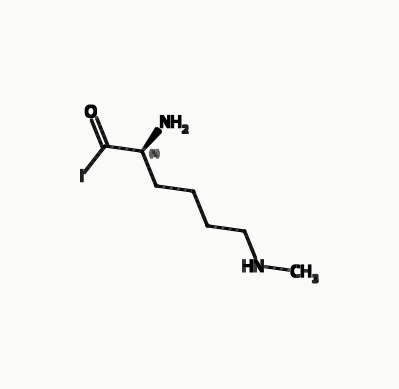 CNCCCC[C@H](N)C(=O)I